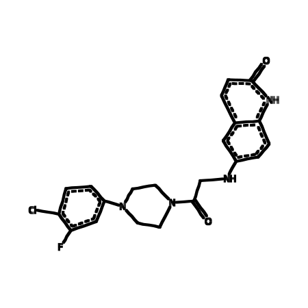 O=C(CNc1ccc2[nH]c(=O)ccc2c1)N1CCN(c2ccc(Cl)c(F)c2)CC1